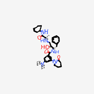 CCN(CC)c1cc(C(=O)N[C@@H](Cc2ccccc2)[C@H](O)CN[C@@H](C)C(=O)NC2CCCCC2)cc(N2CCCCC2=O)c1